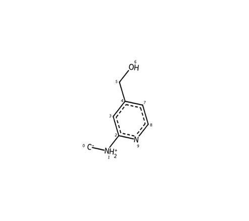 [CH2-][NH2+]c1cc(CO)ccn1